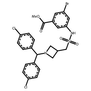 COC(=O)c1cc(Br)cc(NS(=O)(=O)CC2CN(C(c3ccc(Cl)cc3)c3ccc(Cl)cc3)C2)c1